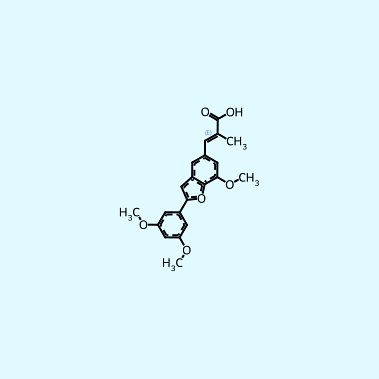 COc1cc(OC)cc(-c2cc3cc(/C=C(\C)C(=O)O)cc(OC)c3o2)c1